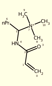 C=CC(=O)NC(CCC)[N+](C)(C)C